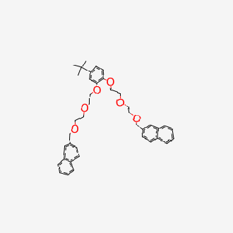 CC(C)(C)c1ccc(OCCOCCOCc2ccc3ccccc3c2)c(OCCOCCOCc2ccc3ccccc3c2)c1